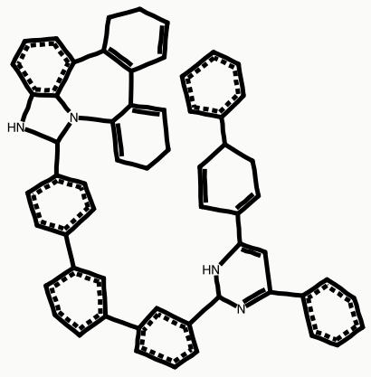 C1=CC2=C(CC1)c1cccc3c1N(C1=CCCC=C12)C(c1ccc(-c2cccc(-c4cccc(C5N=C(c6ccccc6)C=C(C6=CCC(c7ccccc7)C=C6)N5)c4)c2)cc1)N3